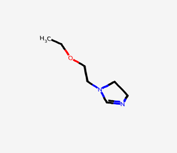 CCOCCN1C=NCC1